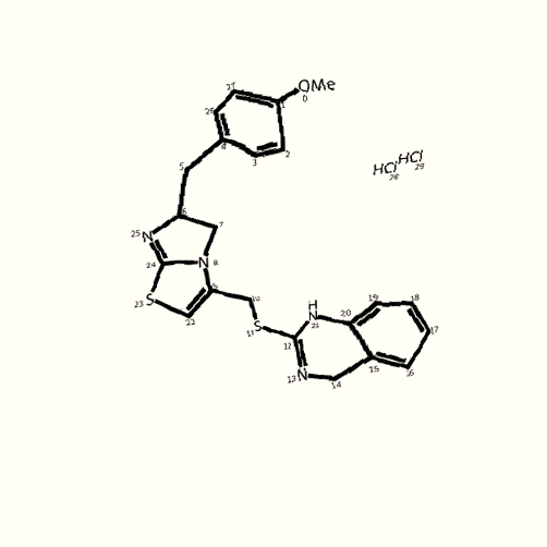 COc1ccc(CC2CN3C(CSC4=NCc5ccccc5N4)=CSC3=N2)cc1.Cl.Cl